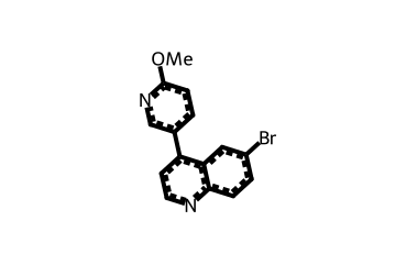 COc1ccc(-c2ccnc3ccc(Br)cc23)cn1